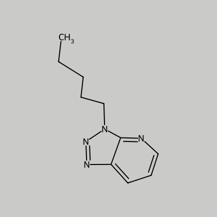 CCCCCn1nnc2cccnc21